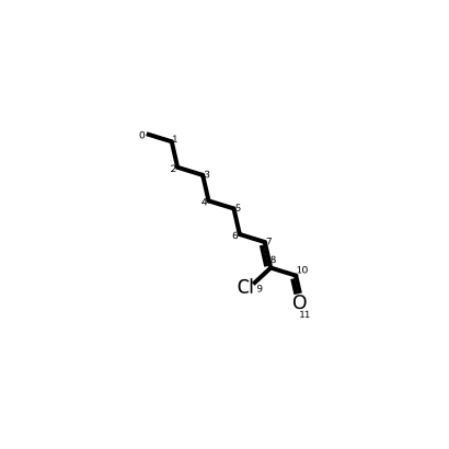 CCCCCCCC=C(Cl)C=O